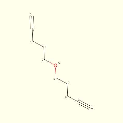 C#CCCCOCCCC#C